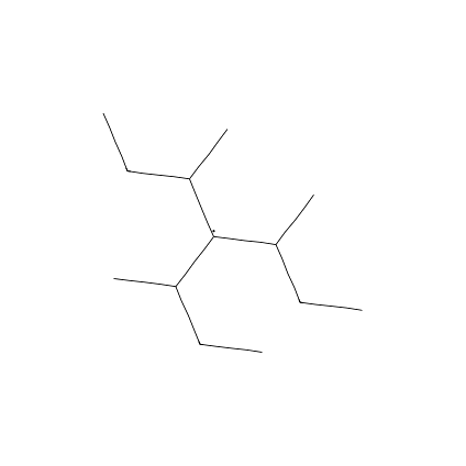 CCC(C)[C](C(C)CC)C(C)CC